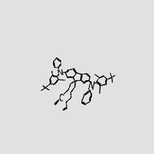 C=CCCCCC1(CCCCC=C)c2cc(N(c3ccccc3)c3c(C)cc(C(C)(C)C)cc3C)ccc2-c2ccc(N(c3ccccc3)c3c(C)cc(C(C)(C)C)cc3C)cc21